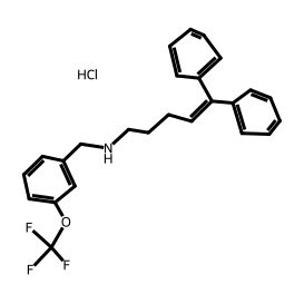 Cl.FC(F)(F)Oc1cccc(CNCCCC=C(c2ccccc2)c2ccccc2)c1